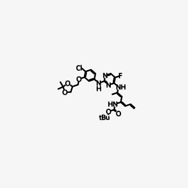 C=C/C=C(\C=C(/C)Nc1nc(Nc2ccc(Cl)c(OCC3COC(C)(C)O3)c2)ncc1F)NC(=O)OC(C)(C)C